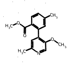 COC(=O)c1ccc(C)cc1-c1cc(C)ncc1OC